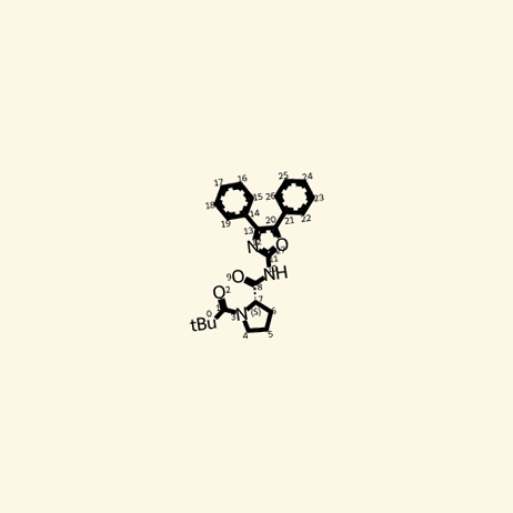 CC(C)(C)C(=O)N1CCC[C@H]1C(=O)Nc1nc(-c2ccccc2)c(-c2ccccc2)o1